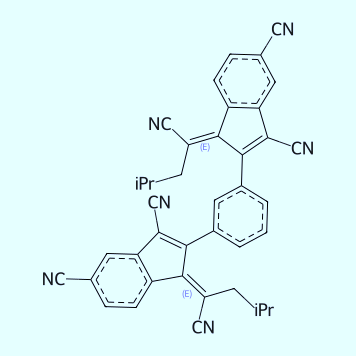 CC(C)C/C(C#N)=C1\C(c2cccc(C3=C(C#N)c4cc(C#N)ccc4/C3=C(\C#N)CC(C)C)c2)=C(C#N)c2cc(C#N)ccc21